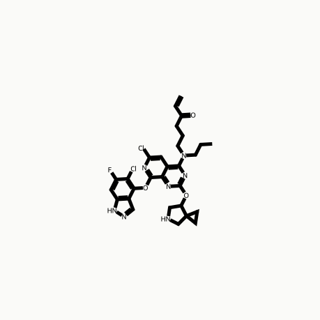 C=CC(=O)CCCN(CCC)c1nc(OC2CNCC23CC3)nc2c(Oc3c(Cl)c(F)cc4[nH]ncc34)nc(Cl)cc12